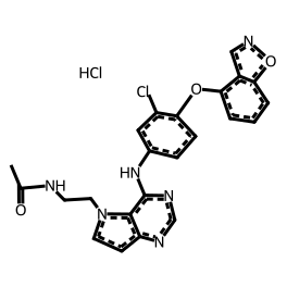 CC(=O)NCCn1ccc2ncnc(Nc3ccc(Oc4cccc5oncc45)c(Cl)c3)c21.Cl